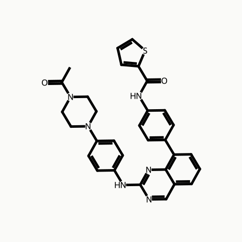 CC(=O)N1CCN(c2ccc(Nc3ncc4cccc(-c5ccc(NC(=O)c6cccs6)cc5)c4n3)cc2)CC1